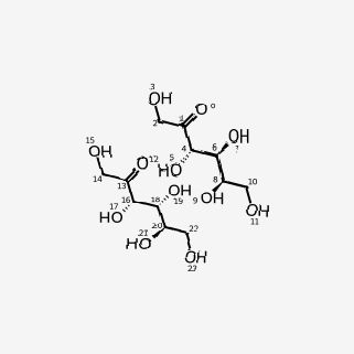 O=C(CO)[C@@H](O)[C@@H](O)[C@H](O)CO.O=C(CO)[C@@H](O)[C@H](O)[C@H](O)CO